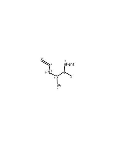 C=CNN(C(C)C)C(C)CCCCC